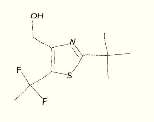 CC(C)(C)c1nc(CO)c(C(C)(F)F)s1